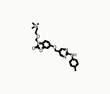 Cc1ccc(Nc2ncc(COc3ccc4c(c3)oc(=O)n4COCC[Si](C)(C)C)cn2)cc1